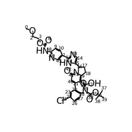 COCCOC(=O)Nc1ccc(-c2ncc(C3CCc4cc(-c5cc(Cl)ccc5N(C(=O)O)C(=O)OC(C)(C)C)cc(=O)n43)[nH]2)cn1